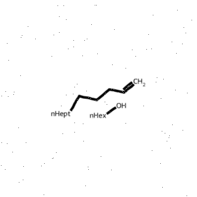 C=CCCCCCCCCCC.CCCCCCO